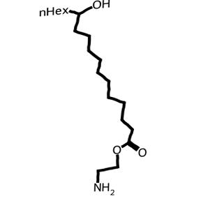 CCCCCCC(O)CCCCCCCCCCC(=O)OCCN